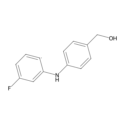 OCc1ccc(Nc2[c]ccc(F)c2)cc1